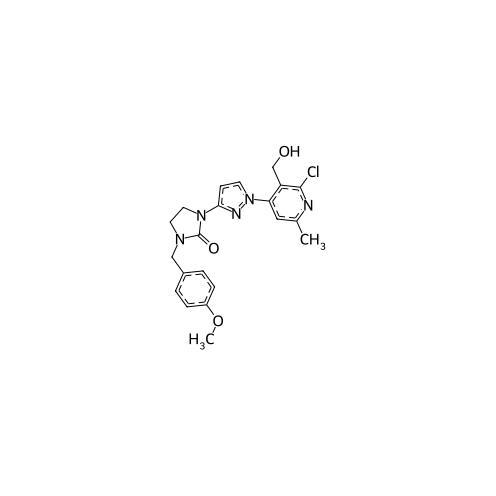 COc1ccc(CN2CCN(c3ccn(-c4cc(C)nc(Cl)c4CO)n3)C2=O)cc1